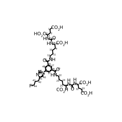 O=C(O)CCC(NC(=O)N[C@@H](CCCCNC(=O)c1cc(C(=O)NCCCCC(NC(=O)N[C@@H](CCC(=O)O)C(=O)O)C(=O)O)cc(-n2cc(CCCF)nn2)c1)C(=O)O)C(=O)O